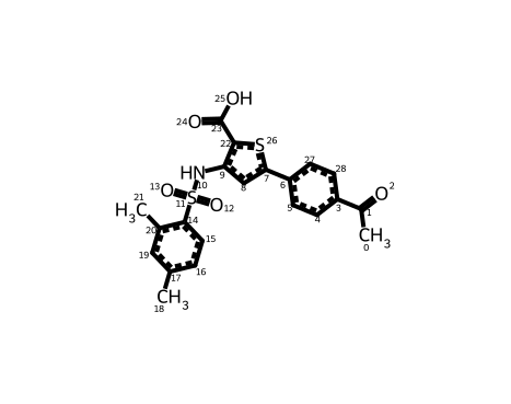 CC(=O)c1ccc(-c2cc(NS(=O)(=O)c3ccc(C)cc3C)c(C(=O)O)s2)cc1